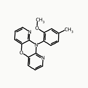 COc1cc(C)ccc1N1c2ncccc2Oc2cccnc21